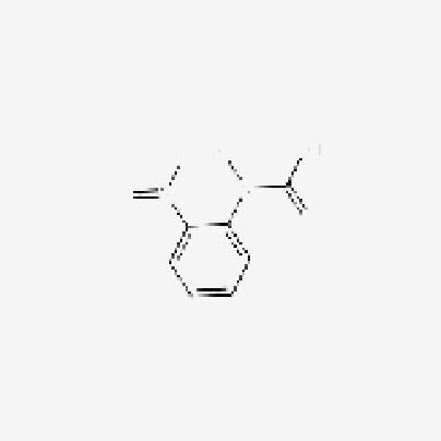 O=C(O)N(Br)c1ccccc1[N+](=O)[O-]